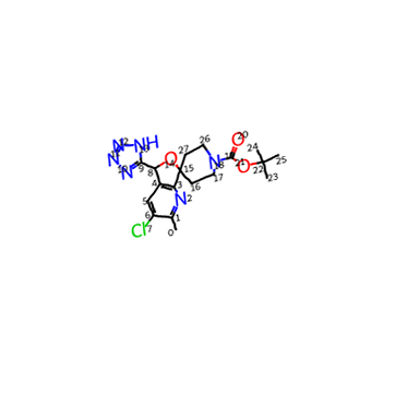 Cc1nc2c(cc1Cl)C(c1nnn[nH]1)OC21CCN(C(=O)OC(C)(C)C)CC1